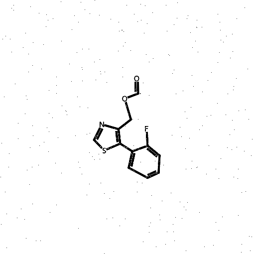 O=[C]OCc1ncsc1-c1ccccc1F